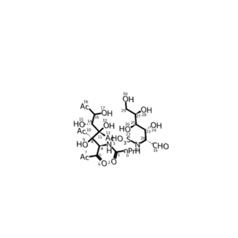 CCCC(=O)N[C@@H](C(=O)C(C)=O)[C@](O)(C(C)=O)[C@](O)(C(C)=O)[C@H](O)C(O)C(C)=O.O=C[C@H](NS(=O)(=O)O)[C@@H](O)[C@@H](O)[C@H](O)CO